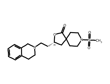 CS(=O)(=O)N1CCC2(CC1)C[C@H](CCN1CCc3ccccc3C1)OC2=O